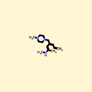 C=C/C=C(\C=C(/C)NC)CN1CCN(C)CC1